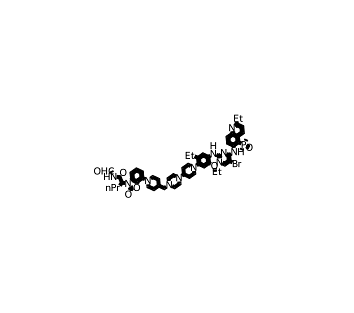 CCCC(C(=O)NC=O)n1c(=O)oc2c(N3CCC(CN4CCN(C5CCN(c6cc(OCC)c(Nc7ncc(Br)c(Nc8ccc9nc(CC)ccc9c8P(C)(C)=O)n7)cc6CC)CC5)CC4)CC3)cccc21